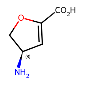 N[C@@H]1C=C(C(=O)O)OC1